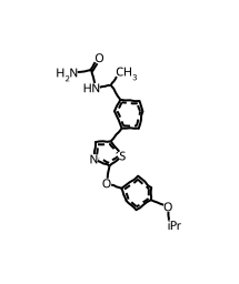 CC(C)Oc1ccc(Oc2ncc(-c3cccc(C(C)NC(N)=O)c3)s2)cc1